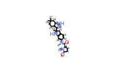 CN(C(=O)[C@H]1CCC(=O)N1C)c1ccc2c(c1)NC(C)(C1=NNC3CC(C)(C)CCC13)C2